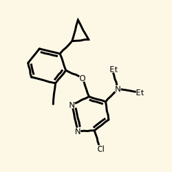 CCN(CC)c1cc(Cl)nnc1Oc1c(C)cccc1C1CC1